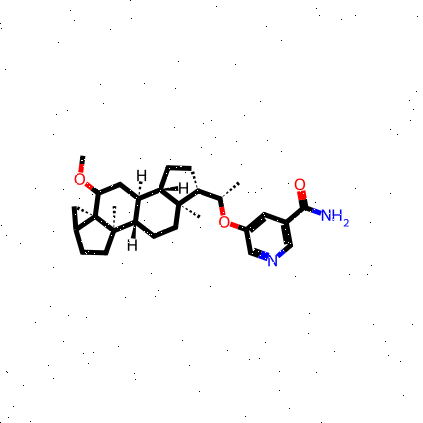 COC1C[C@H]2[C@@H]3CC[C@H]([C@H](C)Oc4cncc(C(N)=O)c4)[C@@]3(C)CC[C@@H]2[C@@]2(C)CCC3C[C@]312